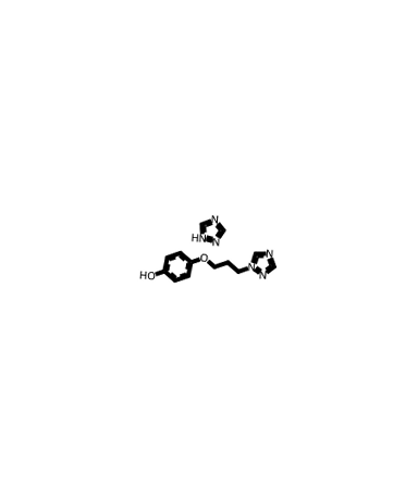 Oc1ccc(OCCCn2cncn2)cc1.c1nc[nH]n1